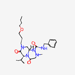 CCCCOCCCN1C[C@H]2N(C(=O)CN(C)N2C(=O)NCc2ccccc2)[C@@H](C(C)C)C1=O